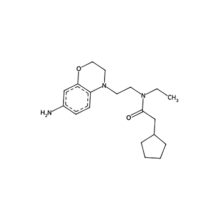 CCN(CCN1CCOc2cc(N)ccc21)C(=O)CC1CCCC1